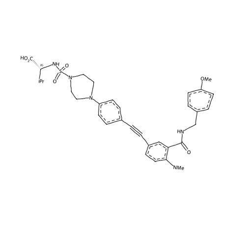 CNc1ccc(C#Cc2ccc(N3CCN(S(=O)(=O)N[C@@H](C(=O)O)C(C)C)CC3)cc2)cc1C(=O)NCc1ccc(OC)cc1